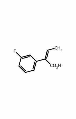 CC=C(C(=O)O)c1cccc(F)c1